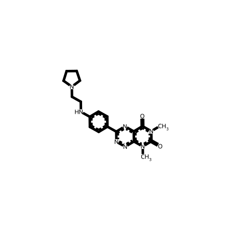 Cn1c(=O)c2nc(-c3ccc(NCCN4CCCC4)cc3)nnc2n(C)c1=O